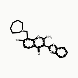 Nc1oc2c(CN3CCCCCC3)c(O)ccc2c(=O)c1-c1nc2ccccc2s1